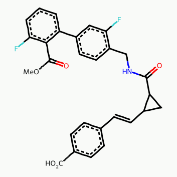 COC(=O)c1c(F)cccc1-c1ccc(CNC(=O)C2CC2C=Cc2ccc(C(=O)O)cc2)c(F)c1